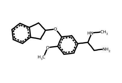 CNC(CN)c1ccc(OC)c(OC2Cc3ccccc3C2)c1